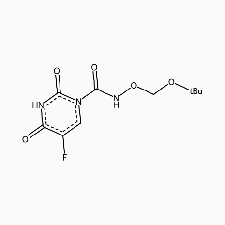 CC(C)(C)OCONC(=O)n1cc(F)c(=O)[nH]c1=O